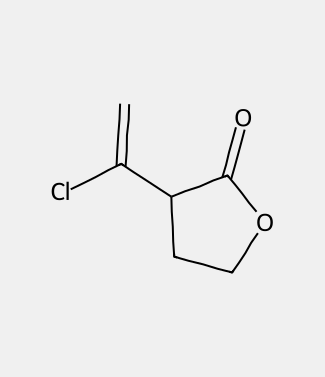 C=C(Cl)C1CCOC1=O